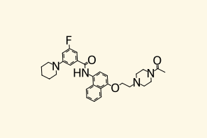 CC(=O)N1CCN(CCOc2ccc(NC(=O)c3cc(F)cc(N4CCCCC4)c3)c3ccccc23)CC1